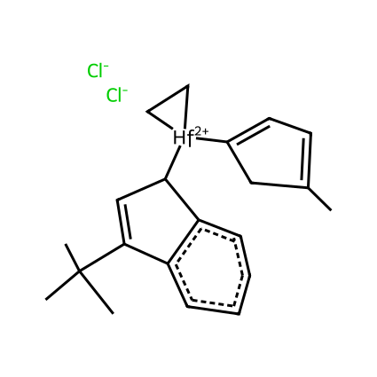 CC1=CC=[C]([Hf+2]2([CH]3C=C(C(C)(C)C)c4ccccc43)[CH2][CH2]2)C1.[Cl-].[Cl-]